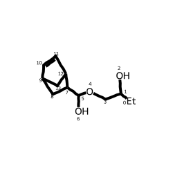 CCC(O)COC(O)C1CC2C=CC1C2